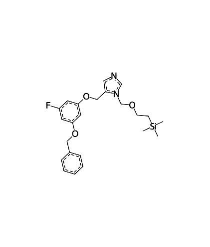 C[Si](C)(C)CCOCn1cncc1COc1cc(F)cc(OCc2ccccc2)c1